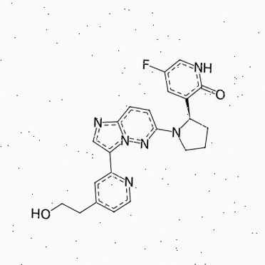 O=c1[nH]cc(F)cc1[C@H]1CCCN1c1ccc2ncc(-c3cc(CCO)ccn3)n2n1